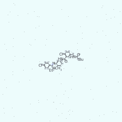 CCN(C)/C(=N\c1cccc(NC(=O)c2cc(CNC(=O)C(C)(C)C)ccc2Cl)c1)c1ccc(Cl)cc1